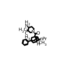 CCCC1(C)C2CC3(c4ccccc4)C[C@H]1CC2(C(=O)N1CC[C@H](N)C(C)(C)C1)C3